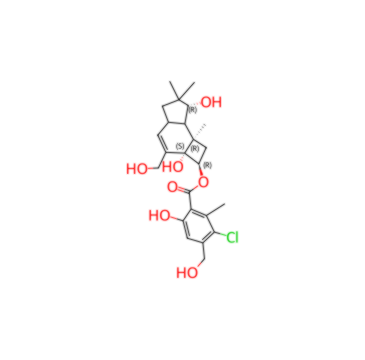 Cc1c(Cl)c(CO)cc(O)c1C(=O)O[C@@H]1C[C@]2(C)C3C(C=C(CO)[C@]12O)CC(C)(C)[C@@H]3O